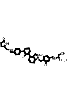 N#Cc1cc(CNC(CO)C(=O)O)cc(Cl)c1Cn1ncc2c(-c3cccc(-c4ccc(CNCC5CCC(=O)N5)cc4)c3Cl)cccc21